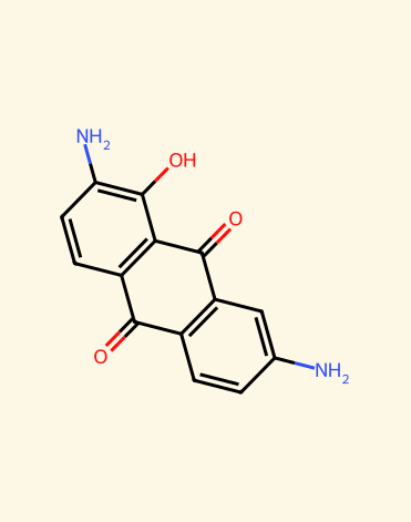 Nc1ccc2c(c1)C(=O)c1c(ccc(N)c1O)C2=O